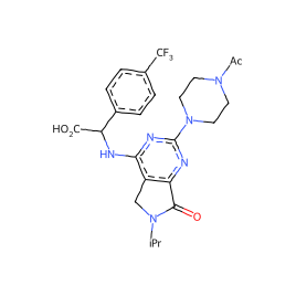 CC(=O)N1CCN(c2nc(NC(C(=O)O)c3ccc(C(F)(F)F)cc3)c3c(n2)C(=O)N(C(C)C)C3)CC1